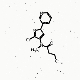 CCCC(=O)N(C)C1=CC(c2cccnc2)N=C1Cl